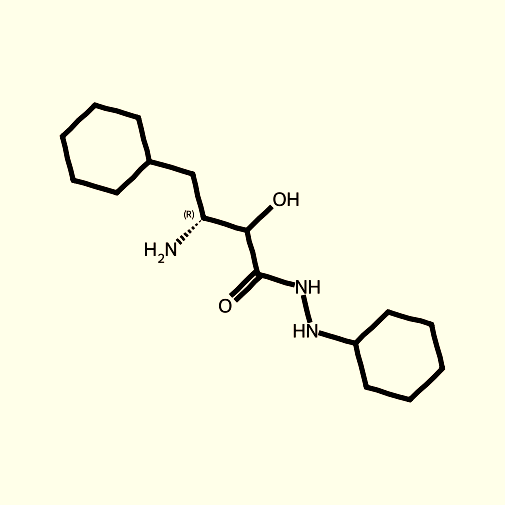 N[C@H](CC1CCCCC1)C(O)C(=O)NNC1CCCCC1